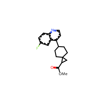 COC(=O)C1CC12CCC(c1ccnc3ccc(F)cc13)CC2